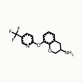 NC1COc2c(cccc2Oc2ccc(C(F)(F)F)cn2)C1